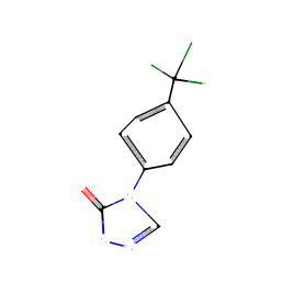 O=c1[nH]ncn1-c1ccc(C(F)(F)F)cc1